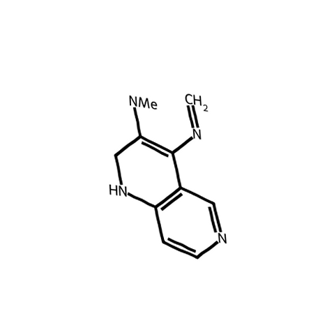 C=NC1=C(NC)CNc2ccncc21